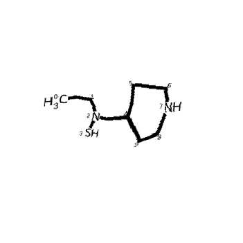 CCN(S)C1CCNCC1